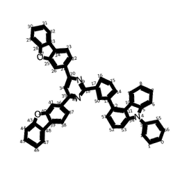 c1ccc(-n2c3ccccc3c3c(-c4cccc(-c5nc(-c6ccc7c(c6)oc6ccccc67)cc(-c6ccc7c(c6)oc6ccccc67)n5)c4)cccc32)cc1